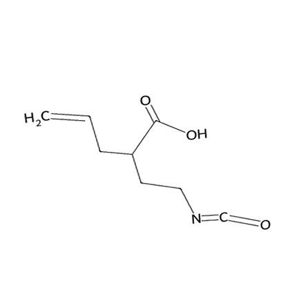 C=CCC(CCN=C=O)C(=O)O